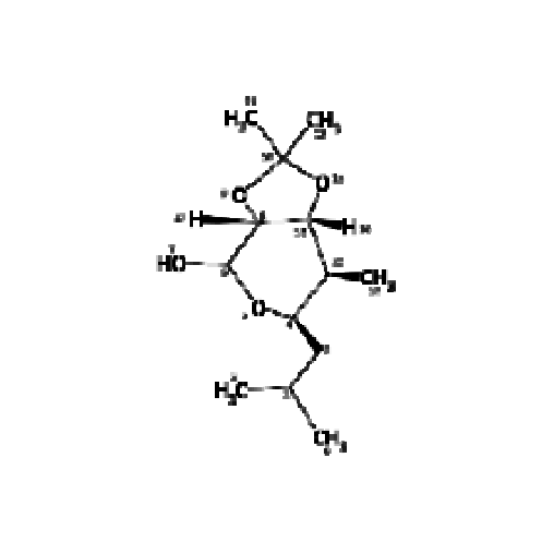 CC(C)C[C@H]1OC(O)[C@@H]2OC(C)(C)O[C@@H]2[C@H]1C